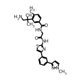 Cc1ccc(C(=O)NCC(=O)Nc2nc(-c3cccc(-c4ccn(C)n4)c3)cs2)cc1C(C)(C)CN